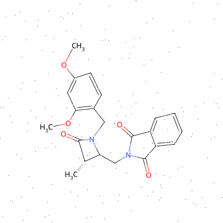 COc1ccc(CN2C(=O)[C@@H](C)C2CN2C(=O)c3ccccc3C2=O)c(OC)c1